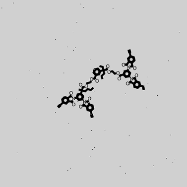 C#Cc1ccc2c(c1)C(=O)N(c1cc(C(=O)OCCOC(=O)C(CC)(CCC)c3cccc(C(=O)OCCOC(=O)C(C)(CCCC)c4cc(N5C(=O)c6ccc(C#C)cc6C5=O)cc(N5C(=O)c6ccc(C#C)cc6C5=O)c4)c3)cc(N3C(=O)c4ccc(C=C)cc4C3=O)c1)C2=O